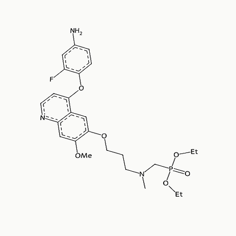 CCOP(=O)(CN(C)CCCOc1cc2c(Oc3ccc(N)cc3F)ccnc2cc1OC)OCC